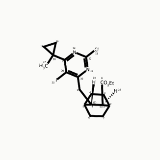 CCOC(=O)[C@H]1C2CCC(CC2)[C@@H]1Cc1nc(Cl)nc(C2(C)CC2)c1I